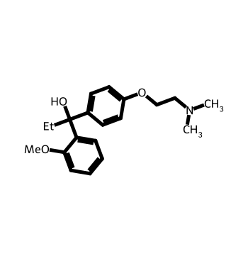 CCC(O)(c1ccc(OCCN(C)C)cc1)c1ccccc1OC